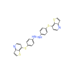 c1cc(Sc2ccc(NNc3ccc(Sc4ccnc5ccsc45)cc3)cc2)c2sccc2n1